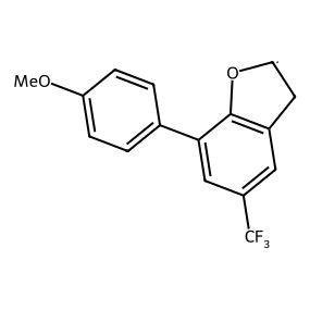 COc1ccc(-c2cc(C(F)(F)F)cc3c2O[CH]C3)cc1